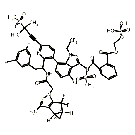 CC(C)(C#Cc1ccc(-c2ccc(Cl)c3c(N(C(=O)c4ccccc4C(=O)OCOP(=O)(O)O)S(C)(=O)=O)nn(CC(F)(F)F)c23)c([C@H](Cc2cc(F)cc(F)c2)NC(=O)Cn2nc(C(F)(F)F)c3c2C(F)(F)[C@@H]2C[C@H]32)n1)S(C)(=O)=O